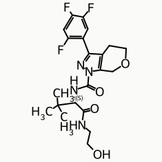 CC(C)(C)[C@H](NC(=O)n1nc(-c2cc(F)c(F)cc2F)c2c1COCC2)C(=O)NCCO